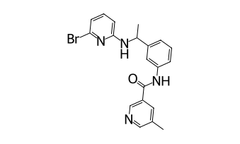 Cc1cncc(C(=O)Nc2cccc(C(C)Nc3cccc(Br)n3)c2)c1